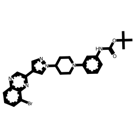 CC(C)(C)OC(=O)Nc1cccc(N2CCC(n3cc(-c4cnc5cccc(Br)c5n4)cn3)CC2)c1